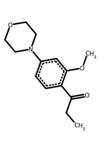 CCC(=O)c1ccc(N2CCOCC2)cc1OC